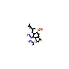 CC(=N)[C@H]1C[C@H](C)c2cc(SO)c(/C=C(\C)C3CC3)c(C=N)c21